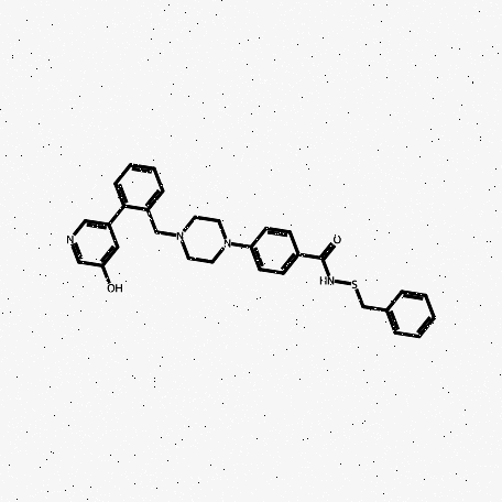 O=C(NSCc1ccccc1)c1ccc(N2CCN(Cc3ccccc3-c3cncc(O)c3)CC2)cc1